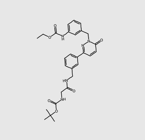 CCOC(=O)Nc1cccc(Cn2nc(-c3cccc(CNC(=O)CNC(=O)OC(C)(C)C)c3)ccc2=O)c1